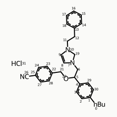 CCCCc1ccc(C(CN2C=CN(CCc3ccccc3)C2)OCc2ccc(C#N)cc2)cc1.Cl